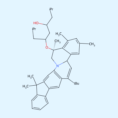 Cc1cc(C)c2c(c1)C1C=C(C(C)(C)C)c3cc4c(cc3N1C[C@@]2(C)OC(CC(C)C)CC(O)CC(C)C)C(C)(C)c1ccccc1-4